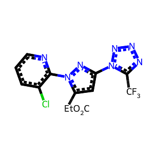 CCOC(=O)c1cc(-n2nnnc2C(F)(F)F)nn1-c1ncccc1Cl